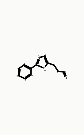 O=CCCc1cnc(-c2ccccc2)o1